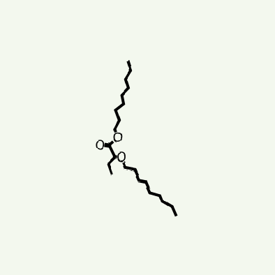 CCCCCCCCCOC(=O)C(CC)OCCCCCCCCC